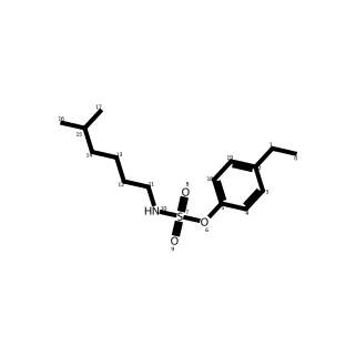 CCc1ccc(OS(=O)(=O)NCCCCC(C)C)cc1